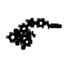 COCCN1CCN(c2nc(-c3ccc(C(=O)NC4(C(=O)N5C[C@H](N)[C@H]6OCC(=O)[C@H]65)CCCCC4)cc3)cs2)CC1